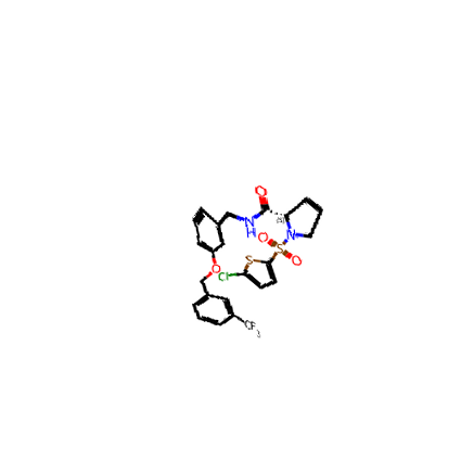 O=C(NCc1cccc(OCc2cccc(C(F)(F)F)c2)c1)[C@@H]1CCCN1S(=O)(=O)c1ccc(Cl)s1